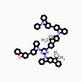 CC1(C)c2cc(-c3cc(-n4c5ccccc5c5cc(-c6ccc7oc8ccccc8c7c6)ccc54)nc(-n4c5ccccc5c5cc6c(cc54)C(C)(C)c4ccccc4-6)n3)ccc2-c2ccc(-n3c4ccccc4c4ccc(-c5ccc6c(c5)c5ccccc5n6-c5ccccc5)cc43)cc21